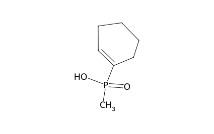 CP(=O)(O)C1=CCCCC1